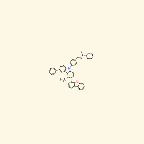 CC1c2c(n(-c3ccc(C/N=C(\I)C4C=CC=CC4)cc3)c3ccc(-c4ccccc4)cc23)C=CC1c1cccc2c1oc1ccccc12